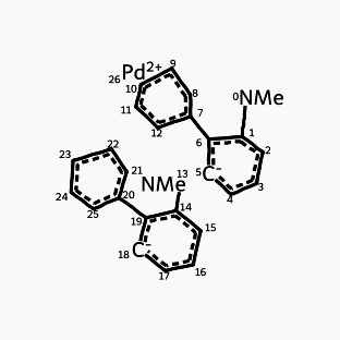 CNc1ccc[c-]c1-c1ccccc1.CNc1ccc[c-]c1-c1ccccc1.[Pd+2]